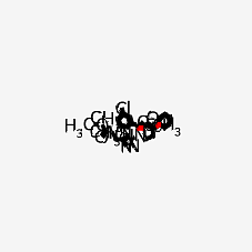 CC(C)(C)OC(=O)NCc1nnc(N2CCC(c3ccccc3)CC2)n1-c1ccc(Cl)cc1COS(C)(=O)=O